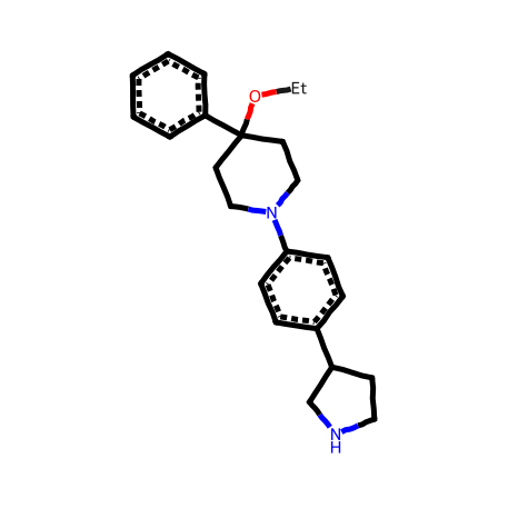 CCOC1(c2ccccc2)CCN(c2ccc(C3CCNC3)cc2)CC1